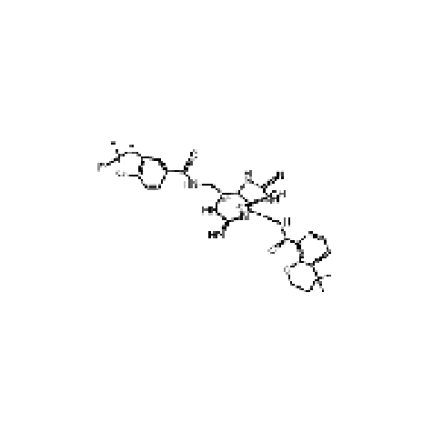 CC1(C)CCOc2c(C(=O)NC3CN4C(=N)N[C@@H](CNC(=O)c5ccc6c(c5)OC(F)(F)O6)C5NC(=N)NC54[C@@H]3O)cccc21